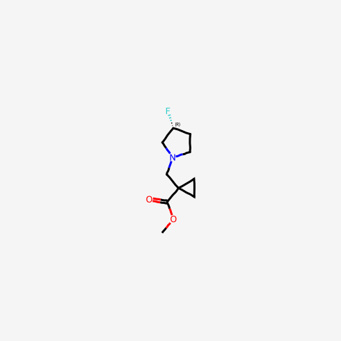 COC(=O)C1(CN2CC[C@@H](F)C2)CC1